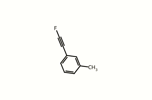 Cc1cccc(C#CF)c1